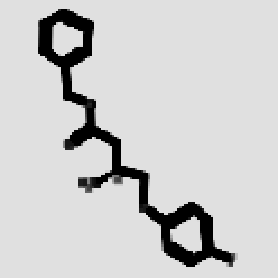 N[C@@H](COc1ccc(F)cc1)CC(=O)OCc1ccccc1